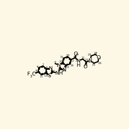 Cn1c(Nc2nc3ccc(C(F)(F)F)cc3s2)nc2cc(C(=O)NCC(=O)N3CCOCC3)ccc21